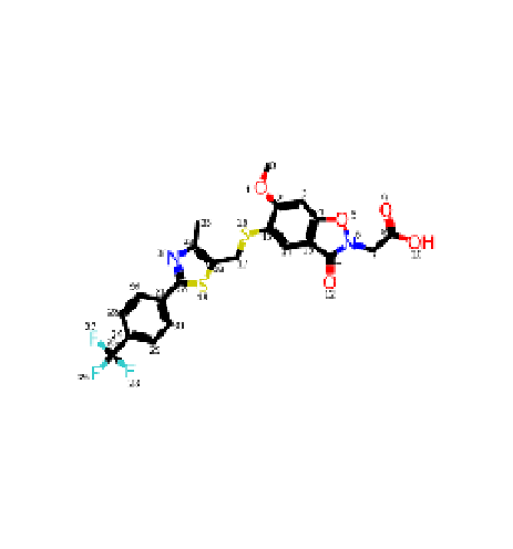 COc1cc2on(CC(=O)O)c(=O)c2cc1SCc1sc(-c2ccc(C(F)(F)F)cc2)nc1C